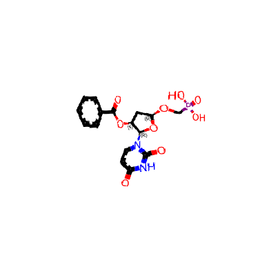 O=C(O[C@H]1C[C@@H](OCP(=O)(O)O)O[C@H]1n1ccc(=O)[nH]c1=O)c1ccccc1